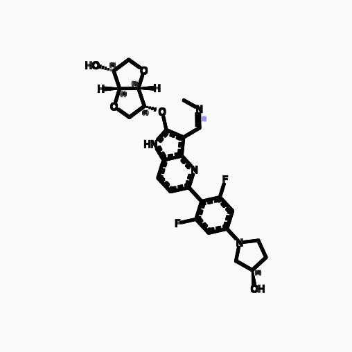 C/N=C\c1c(O[C@@H]2CO[C@H]3[C@@H]2OC[C@H]3O)[nH]c2ccc(-c3c(F)cc(N4CC[C@@H](O)C4)cc3F)nc12